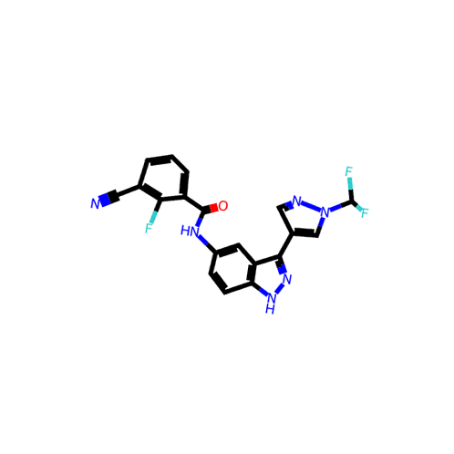 N#Cc1cccc(C(=O)Nc2ccc3[nH]nc(-c4cnn(C(F)F)c4)c3c2)c1F